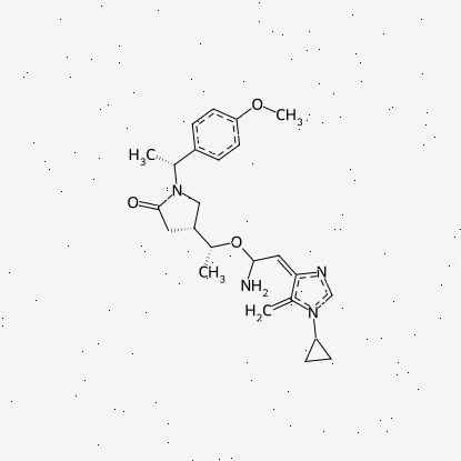 C=c1/c(=C\C(N)O[C@H](C)[C@@H]2CC(=O)N([C@H](C)c3ccc(OC)cc3)C2)ncn1C1CC1